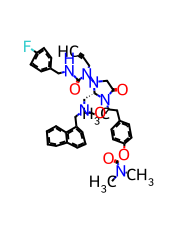 C#CCN(C(=O)NCc1ccc(F)cc1)N1CC(=O)N([C@H](C)Cc2ccc(OC(=O)N(C)C)cc2)[C@@H]1CN(C=O)Cc1cccc2ccccc12